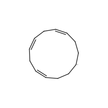 [CH]1CCC=CCC=CCC=CCC1